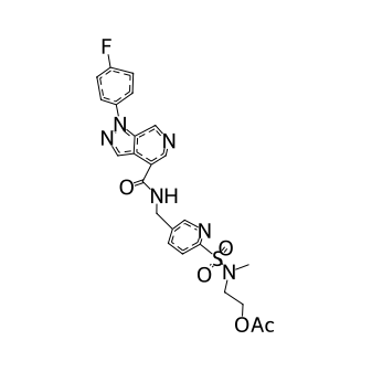 CC(=O)OCCN(C)S(=O)(=O)c1ccc(CNC(=O)c2cncc3c2cnn3-c2ccc(F)cc2)cn1